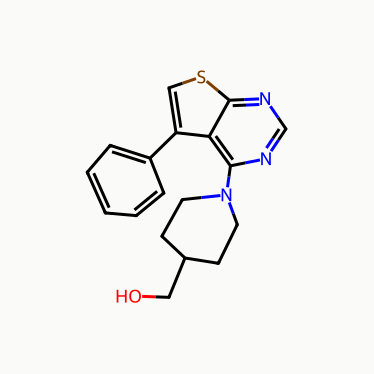 OCC1CCN(c2ncnc3scc(-c4ccccc4)c23)CC1